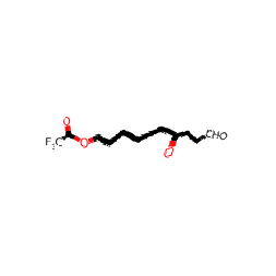 O=CCCC(=O)CCCCCOC(=O)C(F)(F)F